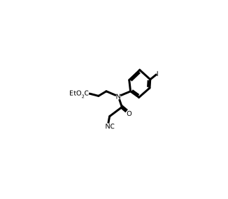 [C-]#[N+]CC(=O)N(CCC(=O)OCC)c1ccc(I)cc1